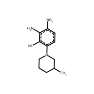 CC1CCCN(c2ccc([N+](=O)[O-])c(N)c2C#N)C1